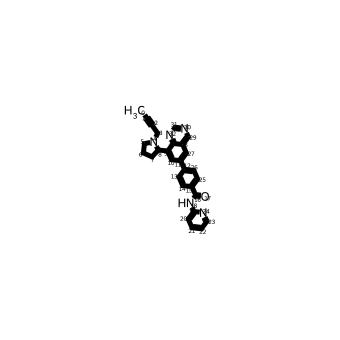 CC#CCN1CCCC1c1cc(-c2ccc(C(=O)Nc3ccccn3)cc2)cc2cncnc12